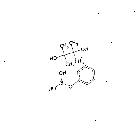 CC(C)(O)C(C)(C)O.OB(O)Oc1ccccc1